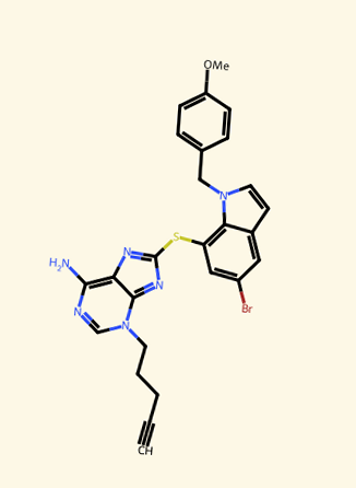 C#CCCCn1cnc(N)c2nc(Sc3cc(Br)cc4ccn(Cc5ccc(OC)cc5)c34)nc1-2